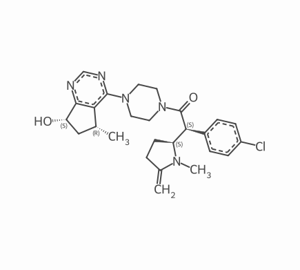 C=C1CC[C@@H]([C@@H](C(=O)N2CCN(c3ncnc4c3[C@H](C)C[C@@H]4O)CC2)c2ccc(Cl)cc2)N1C